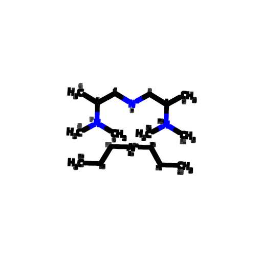 CC(C[N-]CC(C)N(C)C)N(C)C.CC[CH2][Al+][CH2]CC